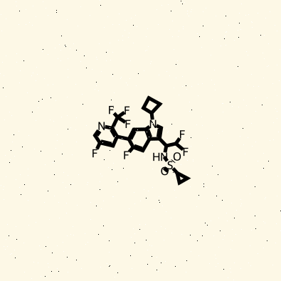 O=S(=O)(NC(c1cn(C2CCC2)c2cc(-c3cc(F)cnc3C(F)(F)F)c(F)cc12)C(F)F)C1CC1